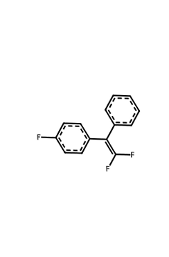 FC(F)=C(c1ccccc1)c1ccc(F)cc1